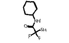 O=C(NC1CCCCC1)C(F)(F)S